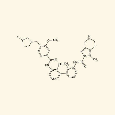 COc1cc(C(=O)Nc2cccc(-c3cccc(NC(=O)c4nc5c(n4C)CCNC5)c3C)c2C)ncc1CN1CCC(F)C1